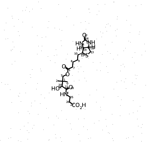 CC(C)(COC(=O)CCCC[C@@H]1SC[C@@H]2NC(=O)N[C@@H]21)C(O)C(=O)NCCC(=O)O